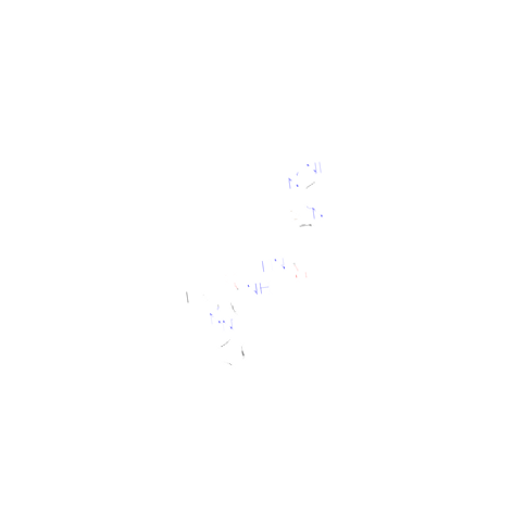 Cc1nc(-c2nc3c(s2)CC(C(=O)NCCNC(=O)c2cn(-c4ccccc4)nc2C(F)(F)F)CC3)c[nH]1